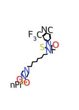 CCCS(=O)(=O)N1CCN(CCCCCCCCN2C(=S)N(c3ccc(C#N)c(C(F)(F)F)c3)C(=O)C2(C)C)CC1